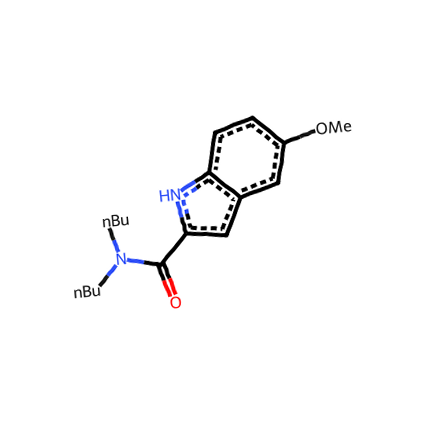 CCCCN(CCCC)C(=O)c1cc2cc(OC)ccc2[nH]1